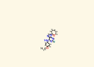 COc1ccc(Nc2nc(F)nc3c2ncn3C2CCCCCO2)cc1